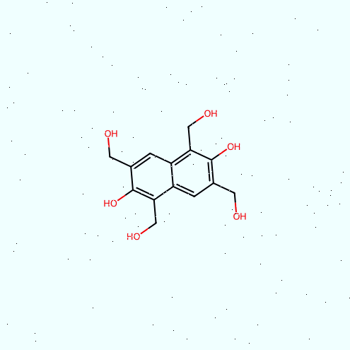 OCc1cc2c(CO)c(O)c(CO)cc2c(CO)c1O